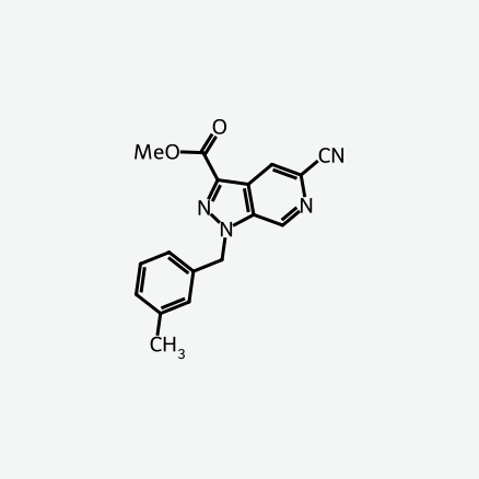 COC(=O)c1nn(Cc2cccc(C)c2)c2cnc(C#N)cc12